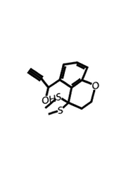 C#CC(O)c1cccc2c1C(SC)(SC)CCO2